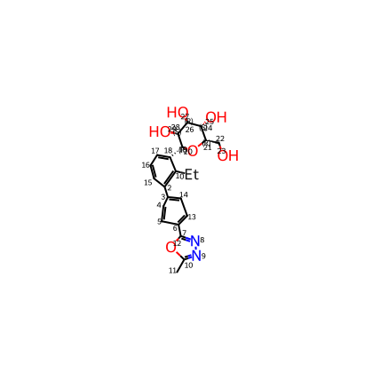 CCc1c(-c2ccc(-c3nnc(C)o3)cc2)cccc1[C@H]1O[C@H](CO)[C@@H](O)[C@H](O)[C@@H]1O